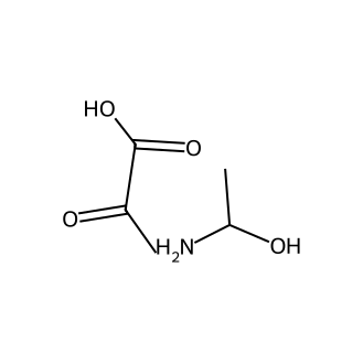 CC(=O)C(=O)O.CC(N)O